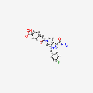 NC(=O)c1nn(Cc2ccc(F)cc2)c2c1CCN(C(=O)CC1CCC(C(=O)O)CC1)C2